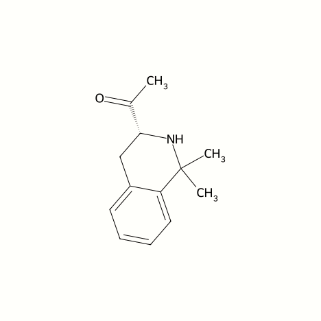 CC(=O)[C@H]1Cc2ccccc2C(C)(C)N1